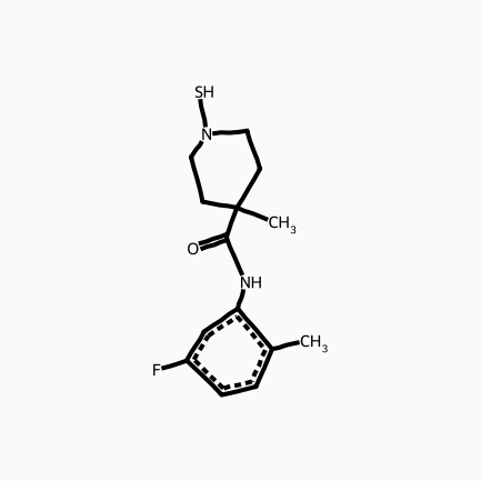 Cc1ccc(F)cc1NC(=O)C1(C)CCN(S)CC1